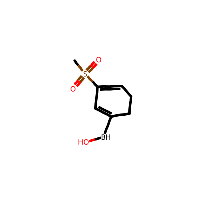 CS(=O)(=O)C1=CCCC(BO)=C1